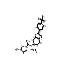 N[C@H](C(=O)N1CC[C@H](F)C1)C1CCc2nc(-c3ccc(C(F)(F)F)cc3)sc2C1